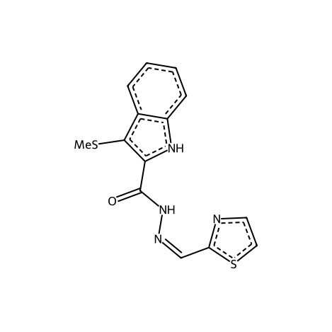 CSc1c(C(=O)N/N=C\c2nccs2)[nH]c2ccccc12